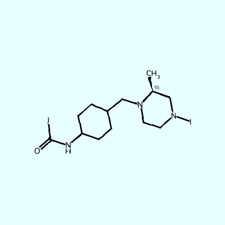 C[C@H]1CN(I)CCN1CC1CCC(NC(=O)I)CC1